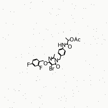 CC(=O)OC(C)C(=O)Nc1ccc(Cn2c(C)nc(OCc3ccc(F)cc3F)c(Br)c2=O)cc1